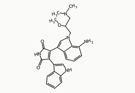 COC(CN(C)C)Cn1cc(C2=C(c3c[nH]c4ccccc34)C(=O)NC2=O)c2cccc(N)c21